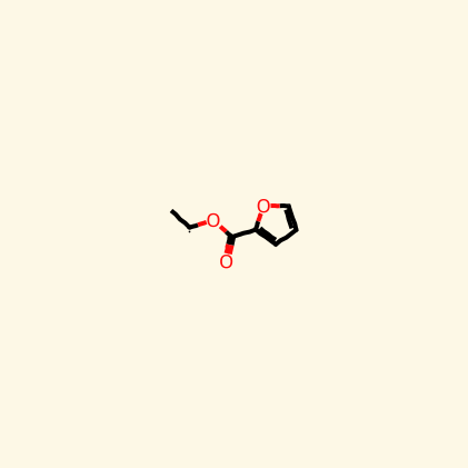 C[CH]OC(=O)c1ccco1